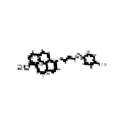 O=Cc1ccc2ccc3c(OCCCOc4ccc(O)cc4)ccc4ccc1c2c43